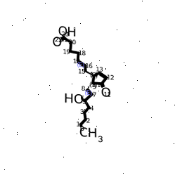 CCCCCC(O)/C=C/[C@H]1C(=O)C=C[C@@H]1C/C=C/CCCC(=O)O